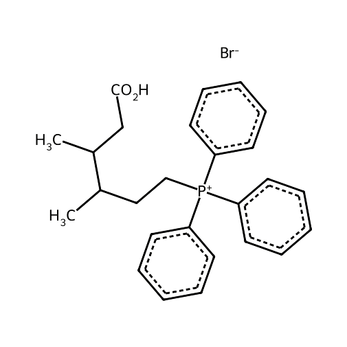 CC(CC[P+](c1ccccc1)(c1ccccc1)c1ccccc1)C(C)CC(=O)O.[Br-]